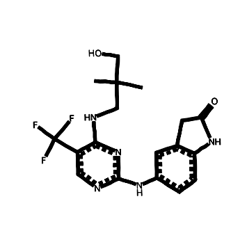 CC(C)(CO)CNc1nc(Nc2ccc3c(c2)CC(=O)N3)ncc1C(F)(F)F